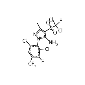 Cc1nn(-c2c(Cl)cc(C(F)(F)F)c(F)c2Cl)c(N)c1S(=O)(=O)C(F)(Cl)Cl